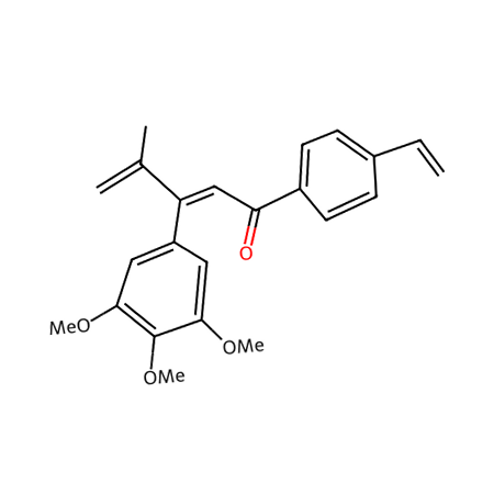 C=Cc1ccc(C(=O)C=C(C(=C)C)c2cc(OC)c(OC)c(OC)c2)cc1